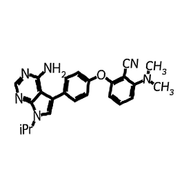 CC(C)n1cc(-c2ccc(Oc3cccc(N(C)C)c3C#N)cc2)c2c(N)ncnc21